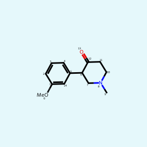 COc1cccc(C2CN(C)CCC2=O)c1